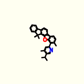 Cc1cc(-c2c(C)ccc3c2oc2c4c(ccc23)-c2ccccc2C4(C)C)ncc1C(C)C